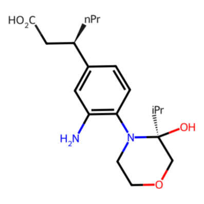 CCC[C@H](CC(=O)O)c1ccc(N2CCOC[C@@]2(O)C(C)C)c(N)c1